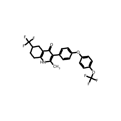 Cc1[nH]c2c(c(=O)c1-c1ccc(Oc3ccc(OC(F)(F)F)cc3)cc1)CC(C(F)(F)F)CC2